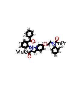 CCCC(=O)N(CCOc1ccc(CC(Nc2ccccc2C(=O)c2ccccc2)C(=O)OC)cc1)c1ccccc1C